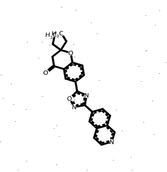 CCC1(CC)CC(=O)c2cc(-c3nc(-c4ccc5cnccc5c4)no3)ccc2O1